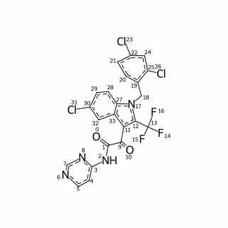 O=C(Nc1ccncn1)C(=O)c1c(C(F)(F)F)n(Cc2ccc(Cl)cc2Cl)c2ccc(Cl)cc12